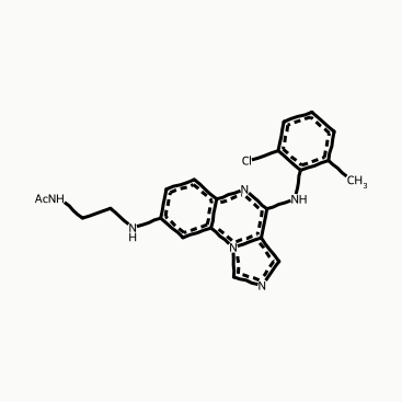 CC(=O)NCCNc1ccc2nc(Nc3c(C)cccc3Cl)c3cncn3c2c1